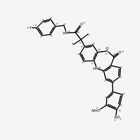 COc1cc(-c2ccc3c(c2)Nc2ccc(C(C)(C)C(=O)NCc4ccc(F)cc4)cc2NC3=O)ccc1[N+](=O)[O-]